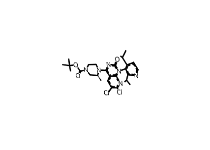 CC(C)c1ccnc(C(C)C)c1-n1c(=O)nc(N2CCN(C(=O)OC(C)(C)C)C[C@@H]2C)c2cc(Cl)c(Cl)nc21